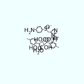 CCCn1cncc1C[S+]([O-])c1ccc(N)cc1.Cc1ccc(C(=O)C(O)(C(=O)O)C(O)(C(=O)O)C(=O)c2ccc(C)cc2)cc1.O